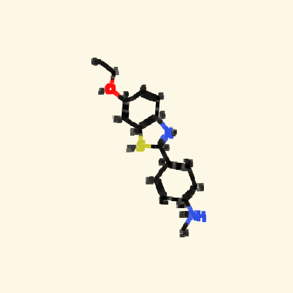 CCOc1ccc2nc(-c3ccc(NC)cc3)sc2c1